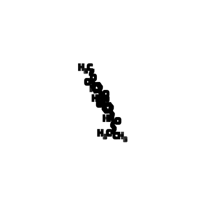 CCCOC(=O)c1ccc(C(=O)NS(=O)(=O)c2ccc(CNC(=O)CCC(C)C)cc2)cn1